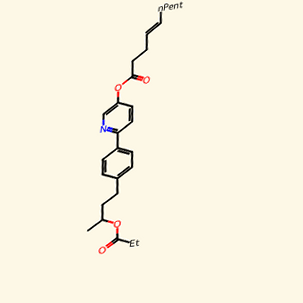 CCCCC/C=C/CCC(=O)Oc1ccc(-c2ccc(CCC(C)OC(=O)CC)cc2)nc1